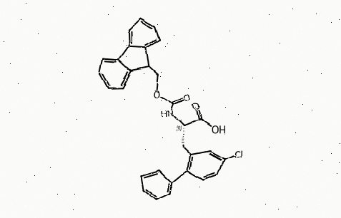 O=C(N[C@@H](Cc1cc(Cl)ccc1-c1ccccc1)C(=O)O)OCC1c2ccccc2-c2ccccc21